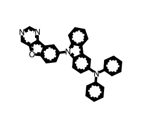 c1ccc(N(c2ccccc2)c2ccc3c(c2)c2ccccc2n3-c2ccc3oc4cncnc4c3c2)cc1